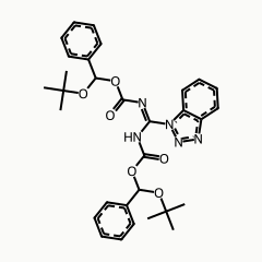 CC(C)(C)OC(OC(=O)N=C(NC(=O)OC(OC(C)(C)C)c1ccccc1)n1nnc2ccccc21)c1ccccc1